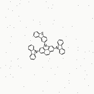 c1ccc2c(c1)sc1ccc(-n3c4cc(-n5c6ccccc6c6ccccc65)cc5ccc6cc(-n7c8ccccc8c8ccccc87)cc3c6c54)cc12